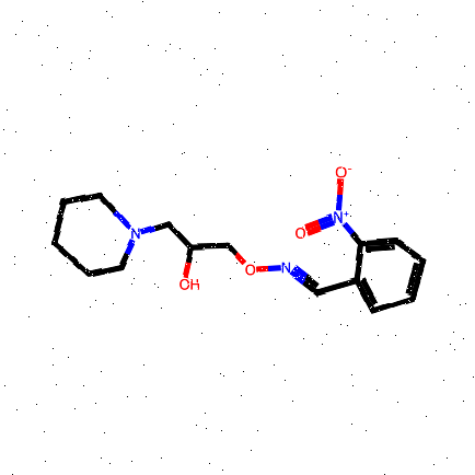 O=[N+]([O-])c1ccccc1[C]=NOCC(O)CN1CCCCC1